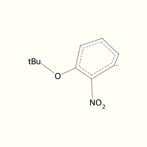 CC(C)(C)Oc1ccc[c]c1[N+](=O)[O-]